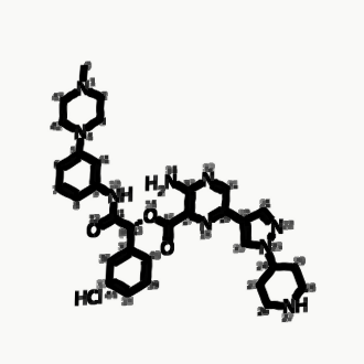 CN1CCN(c2cccc(NC(=O)[C@H](OC(=O)c3nc(-c4cnn(C5CCNCC5)c4)cnc3N)c3ccccc3)c2)CC1.Cl